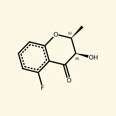 C[C@@H]1Oc2cccc(F)c2C(=O)[C@@H]1O